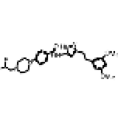 COc1cc(CCc2cc(NC(=O)c3ccc(N4CCN(CC(F)F)CC4)cc3)[nH]n2)cc(OC)c1